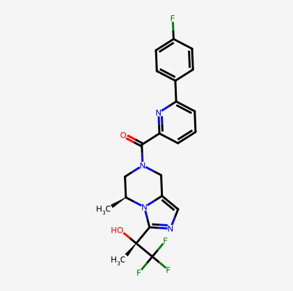 C[C@H]1CN(C(=O)c2cccc(-c3ccc(F)cc3)n2)Cc2cnc([C@@](C)(O)C(F)(F)F)n21